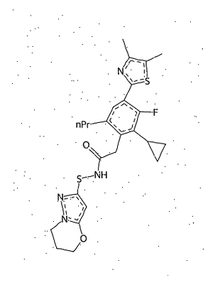 CCCc1cc(-c2nc(C)c(C)s2)c(F)c(C2CC2)c1CC(=O)NSc1cc2n(n1)CCCO2